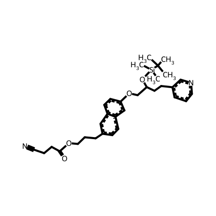 CC(C)(C)[Si](C)(C)OC(CCc1cccnc1)COc1ccc2cc(CCCOC(=O)CCC#N)ccc2c1